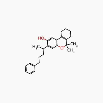 CC(CCCc1ccccc1)c1cc2c(cc1O)C1=C(CCCC1)C(C)(C)O2